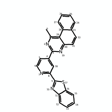 Cc1nc(-c2ccnc(-c3nc4ccccc4s3)c2)nc2ccc3ccccc3c12